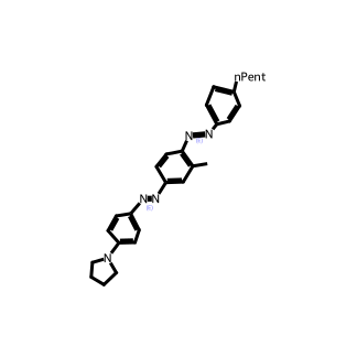 CCCCCc1ccc(/N=N/c2ccc(/N=N/c3ccc(N4CCCC4)cc3)cc2C)cc1